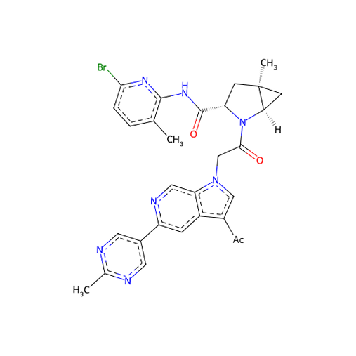 CC(=O)c1cn(CC(=O)N2[C@H](C(=O)Nc3nc(Br)ccc3C)C[C@@]3(C)C[C@@H]23)c2cnc(-c3cnc(C)nc3)cc12